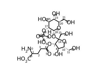 NC(CCC(=O)O[C@H]1[C@H](O)[C@@H](CO)O[C@@]1(CO)O[C@H]1O[C@H](CO)[C@@H](O)[C@H](O)[C@H]1OP(=O)(O)O)C(=O)O